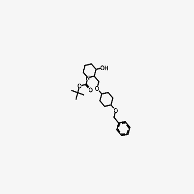 CC(C)(C)OC(=O)N1CCCC(O)C1COC1CCC(OCc2ccccc2)CC1